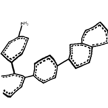 Nc1ccc(-c2ccccc2-c2ccc(-c3ccc4ccccc4c3)cc2)cc1